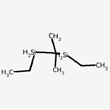 CC[SiH2]C(C)(C)[SiH2]CC